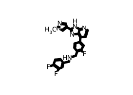 Cn1cc(-c2nc3c(-c4ccc(CNCc5ccc(F)c(F)c5)c(F)c4)ccnc3[nH]2)cn1